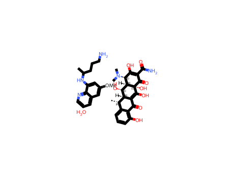 COc1cc(NC(C)CCCN)c2ncccc2c1.C[C@H]1c2cccc(O)c2C(=O)C2=C(O)[C@]3(O)C(=O)C(C(N)=O)=C(O)[C@@H](N(C)C)[C@@H]3[C@@H](O)[C@@H]21.O